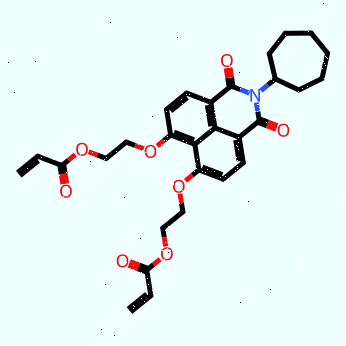 C=CC(=O)OCCOc1ccc2c3c(ccc(OCCOC(=O)C=C)c13)C(=O)N(C1CCCCCC1)C2=O